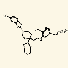 O=C(O)Cc1ccc(Cl)c(OCCC2(N3CCCCC3)CCN(c3nc4ccc(C(F)(F)F)cc4s3)CC2)c1